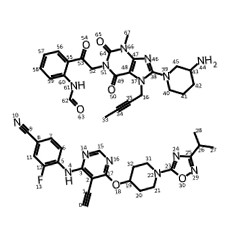 C#Cc1c(Nc2ccc(C#N)cc2F)ncnc1OC1CCN(c2nc(C(C)C)no2)CC1.CC#CCn1c(N2CCCC(N)C2)nc2c1c(=O)n(CC(=O)c1ccccc1NC=O)c(=O)n2C